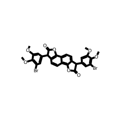 COc1cc(C2C(=O)Oc3c2ccc2c4c(ccc32)C(c2cc(Br)c(OC)c(OC)c2)C(=O)O4)cc(Br)c1OC